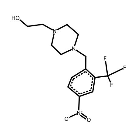 O=[N+]([O-])c1ccc(CN2CCN(CCO)CC2)c(C(F)(F)F)c1